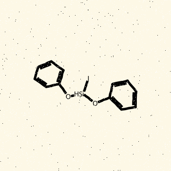 I[SiH](Oc1ccccc1)Oc1ccccc1